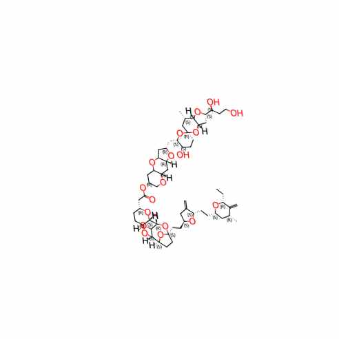 C=C1C[C@H](CC[C@]23CC[C@H](O2)[C@@H]2O[C@H]4CC[C@H](CC(=O)O[C@H]5CO[C@H]6C[C@H]7O[C@@H](C[C@@H]8O[C@@]9(CC[C@@H]8O)C[C@H](C)[C@@H]8O[C@H]([C@@H](O)CCO)C[C@@H]8O9)CC7OC6C5)O[C@@H]4[C@H](O3)C2OC)O[C@H]1CC[C@H]1C[C@@H](C)C(=C)[C@@H](CC)O1